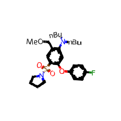 CCCCN(CCCC)c1cc(Oc2ccc(F)cc2)c(S(=O)(=O)N2CCCC2)cc1COC